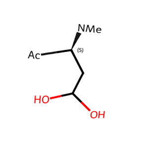 CN[C@@H](CC(O)O)C(C)=O